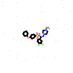 CN1CCN(C[C@H](NS(=O)(=O)c2ccc(Oc3ccccc3)cc2)c2ccc(Cl)c(Cl)c2)CC1